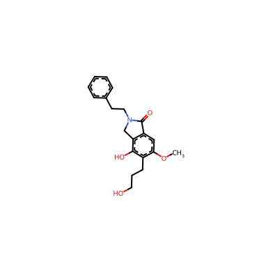 COc1cc2c(c(O)c1CCCO)CN(CCc1ccccc1)C2=O